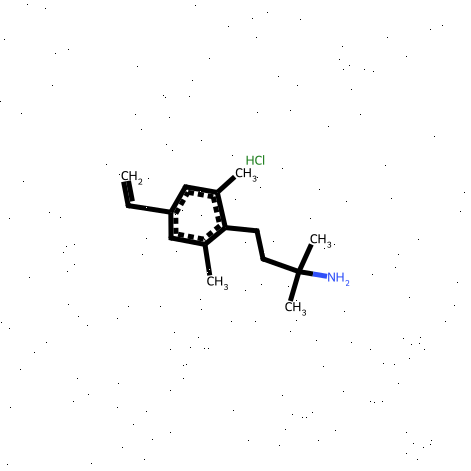 C=Cc1cc(C)c(CCC(C)(C)N)c(C)c1.Cl